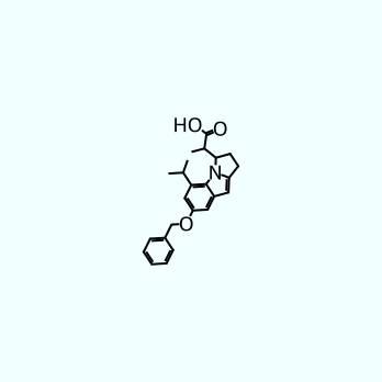 CC(C)c1cc(OCc2ccccc2)cc2cc3n(c12)C(C(C)C(=O)O)CC3